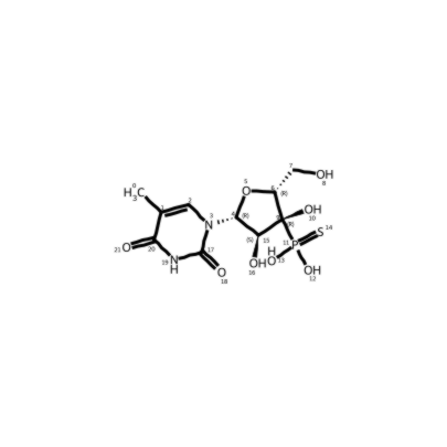 Cc1cn([C@@H]2O[C@H](CO)[C@](O)(P(O)(O)=S)[C@H]2O)c(=O)[nH]c1=O